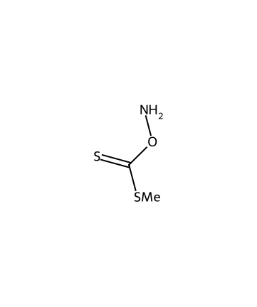 CSC(=S)ON